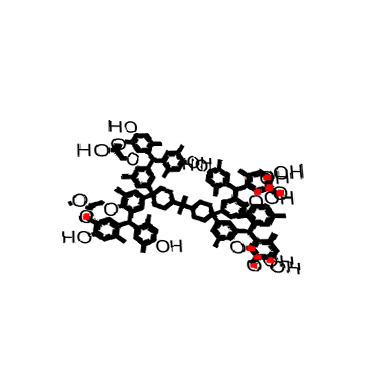 COC(=O)COc1c(C)cc(C2(c3cc(C)c(OCC(=O)O)c(C(c4cc(C)c(O)cc4C)c4cc(C)c(O)cc4C)c3)CCC(C(C)(C)C3CCC(c4cc(C)c(OCC(=O)O)c(C(c5cc(C)c(O)cc5C)c5cc(C)c(O)cc5C)c4)(c4cc(C)c(OCC(=O)O)c(C(c5cc(C)c(O)cc5C)c5cc(C)c(O)cc5C)c4)CC3)CC2)cc1C(c1cc(C)c(O)cc1C)c1cc(C)c(O)cc1C